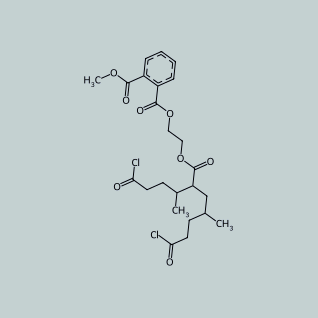 COC(=O)c1ccccc1C(=O)OCCOC(=O)C(CC(C)CCC(=O)Cl)C(C)CCC(=O)Cl